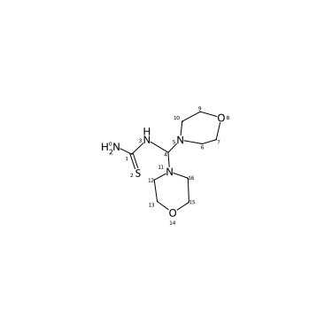 NC(=S)NC(N1CCOCC1)N1CCOCC1